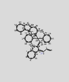 C=C/C=c1\c2n(c3ccccc13)-c1ccccc1C1(C=2C)c2ccccc2Sc2cc3sc4ccccc4c3cc21